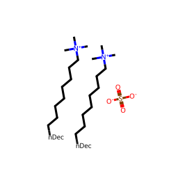 CCCCCCCCCCCCCCCCCC[N+](C)(C)C.CCCCCCCCCCCCCCCCCC[N+](C)(C)C.O=S(=O)([O-])[O-]